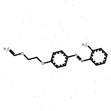 C=COCCOc1ccc(/N=N/c2ccccc2C)cc1